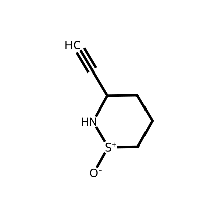 C#CC1CCC[S+]([O-])N1